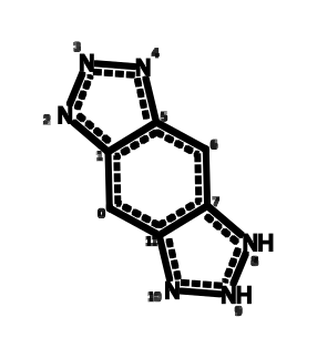 c1c2nnnc2cc2[nH][nH]nc12